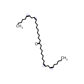 CCCCC/C=C\C/C=C\CCCCCC[CH]CC(=O)CCCCCCC/C=C\C/C=C\CCCCC